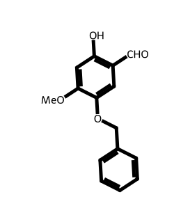 COc1cc(O)c(C=O)cc1OCc1ccccc1